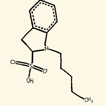 CCCCCN1c2ccccc2CC1S(=O)(=O)O